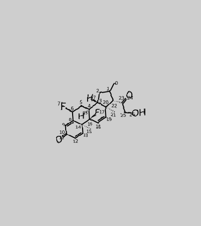 CC1C[C@H]2[C@@H]3CC(F)C4=CC(=O)C=C[C@]4(C)[C@@]3(F)C=C[C@]2(C)[C@H]1C(=O)CO